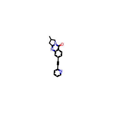 CC1Cc2nc3cc(C#Cc4ccccn4)ccc3c(=O)n2C1